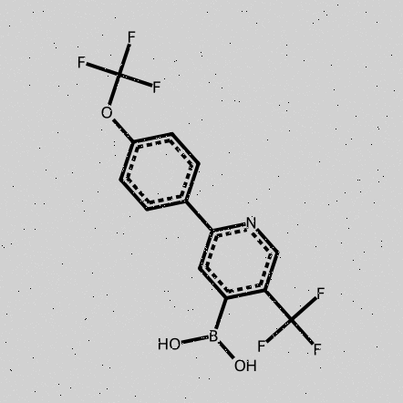 OB(O)c1cc(-c2ccc(OC(F)(F)F)cc2)ncc1C(F)(F)F